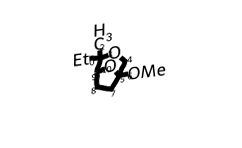 CCC1(C)OCC2(OC)CCC1O2